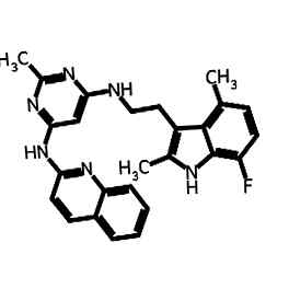 Cc1nc(NCCc2c(C)[nH]c3c(F)ccc(C)c23)cc(Nc2ccc3ccccc3n2)n1